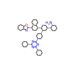 Nc1ccccc1-c1ccc(-c2ccc(-c3nc4ccccc4o3)c3ccccc23)c(-c2ccc(-c3nc(-c4ccccc4)nc(-c4ccccc4)n3)cc2)c1